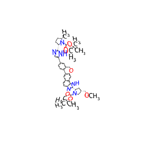 COC[C@H]1C[C@@H](c2nc3ccc4cc5c(cc4c3[nH]2)OCc2cc(-c3cnc([C@@H]4CCC(C)N4C(=O)OC(C)(C)C)[nH]3)ccc2-5)N(C(=O)OC(C)(C)C)C1